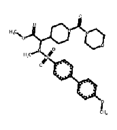 COC(=O)C(C1CCN(C(=O)N2CCOCC2)CC1)N(C)S(=O)(=O)c1ccc(-c2ccc(OC)cc2)cc1